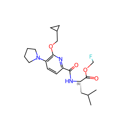 CC(C)C[C@H](NC(=O)c1ccc(N2CCCC2)c(OCC2CC2)n1)C(=O)OCF